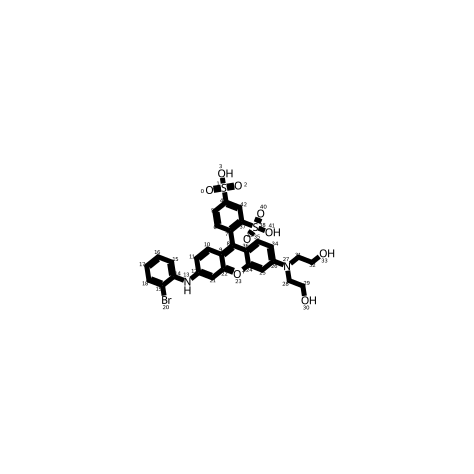 O=S(=O)(O)c1ccc(-c2c3ccc(Nc4ccccc4Br)cc3[o+]c3cc(N(CCO)CCO)ccc23)c(S(=O)(=O)O)c1